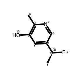 Cc1ncc([C@H](C)F)cc1O